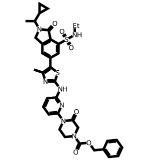 CCNS(=O)(=O)c1cc(-c2sc(Nc3cccc(N4CCN(C(=O)OCc5ccccc5)CC4=O)n3)nc2C)cc2c1C(=O)N(C(C)C1CC1)C2